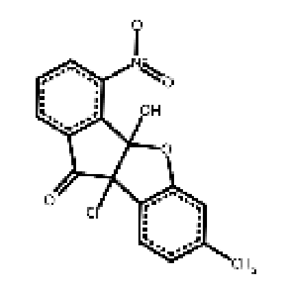 Cc1ccc2c(c1)OC1(O)c3c(cccc3[N+](=O)[O-])C(=O)C21Cl